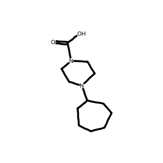 O=C(O)N1CCN(C2CCCCCC2)CC1